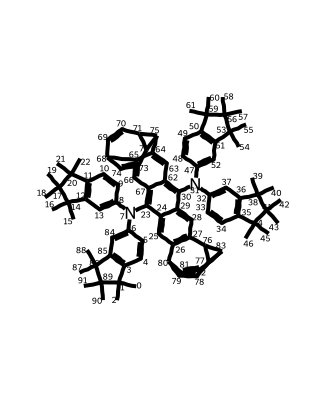 CC1(C)c2ccc(N(c3ccc4c(c3)C(C)(C)C(C)(C)C4(C)C)c3c4cc5c(cc4c(N(c4ccc6c(c4)C(C)(C)C(C)(C)C6(C)C)c4ccc6c(c4)C(C)(C)C(C)(C)C6(C)C)c4cc6c(cc34)C3C=CC4C(C=C3)C64)C3C4C=CC5C=CC43)cc2C(C)(C)C1(C)C